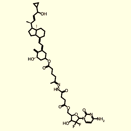 C=C1/C(=C\C=C2/CCC[C@@]3(C)C2CCC3[C@@H](C)/C=C/C(O)C2CC2)CC(OC(=O)CCC/C(C)=N/NC(=O)CCC(=O)OCC2OC(n3ccc(N)nc3=O)C(F)(F)C2O)C[C@@H]1O